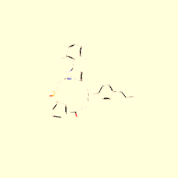 Cc1cccc(C)c1-c1cc2nc(n1)NS(=O)(=O)c1cccc(c1)C(=O)NC[C@H](c1ccc(/C=C/C(C)(C)C)cc1)O2